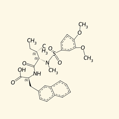 CC[C@H](C)[C@@H](C(=O)N[C@@H](Cc1ccc2ccccc2c1)C(=O)O)N(C)S(=O)(=O)c1ccc(OC)c(OC)c1